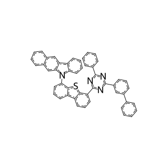 c1ccc(-c2cccc(-c3nc(-c4ccccc4)nc(-c4cccc5c4sc4c(-n6c7ccccc7c7cc8ccccc8cc76)cccc45)n3)c2)cc1